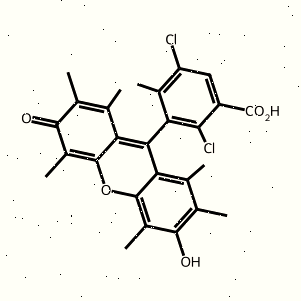 Cc1c(Cl)cc(C(=O)O)c(Cl)c1-c1c2c(C)c(C)c(=O)c(C)c-2oc2c(C)c(O)c(C)c(C)c12